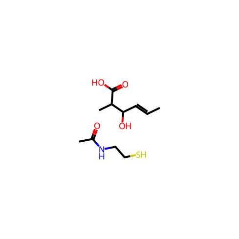 C/C=C/C(O)C(C)C(=O)O.CC(=O)NCCS